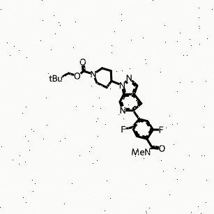 CNC(=O)c1cc(F)c(-c2cc3cnn(C4CCN(C(=O)OCC(C)(C)C)CC4)c3cn2)cc1F